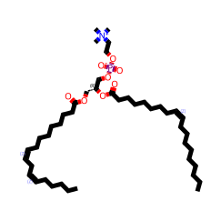 CCCCC/C=C\C/C=C\CCCCCCCC(=O)OC[C@H](COP(=O)([O-])OCC[N+](C)(C)C)OC(=O)CCCCCCC/C=C\CCCCCCCCC